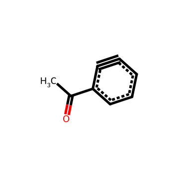 CC(=O)c1c#cccc1